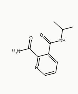 CC(C)NC(=O)c1cccnc1C(N)=O